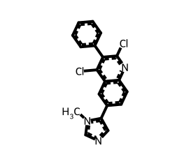 Cn1cncc1-c1ccc2nc(Cl)c(-c3ccccc3)c(Cl)c2c1